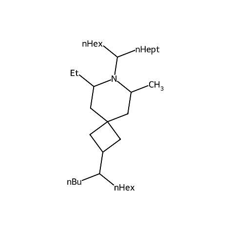 CCCCCCCC(CCCCCC)N1C(C)CC2(CC(C(CCCC)CCCCCC)C2)CC1CC